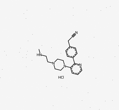 CNCCN1CCN(c2cccnc2-c2ccc(CC#N)cc2)CC1.Cl